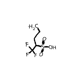 [CH2]CCC(C(F)(F)F)S(=O)(=O)O